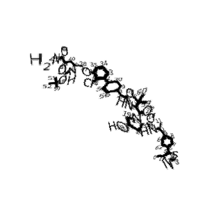 Cc1ncsc1-c1ccc([C@H](C)NC(=O)[C@@H]2C[C@@H](O)CN2C(=O)[C@@H](NC(=O)CC2CCC(c3cccc(OC[C@H](CCC(N)=O)NC(=O)OC(C)(C)C)c3Cl)CC2)C(C)(C)C)cc1